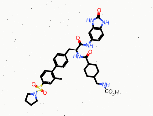 Cc1cc(S(=O)(=O)N2CCCC2)ccc1-c1ccc(C[C@H](NC(=O)C2CCC(CNC(=O)O)CC2)C(=O)Nc2ccc3[nH]c(=O)[nH]c3c2)cc1